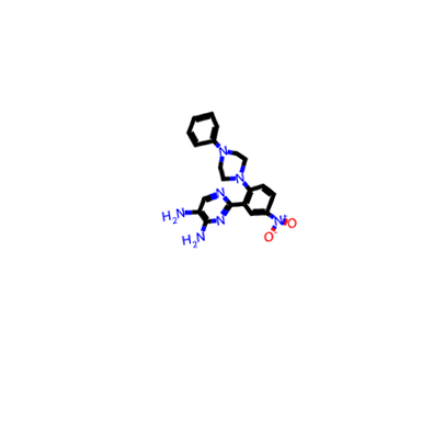 Nc1cnc(-c2cc([N+](=O)[O-])ccc2N2CCN(c3ccccc3)CC2)nc1N